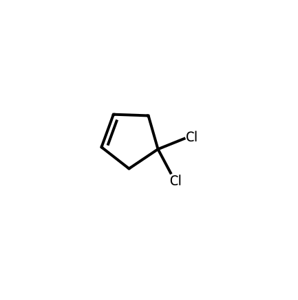 ClC1(Cl)CC=CC1